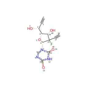 C#C[C@@H](O)[C@H]1O[C@@H](n2cnc(=O)[nH]c2=O)C(F)(C#C)[C@H]1O